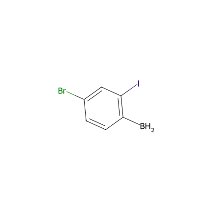 Bc1ccc(Br)cc1I